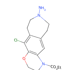 CCOC(=O)N1CCOc2c1cc1c(c2Cl)CCN(N)CC1